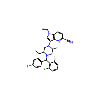 C=Cn1cc(N2CC(CC)N(C(c3ccc(F)cc3)c3c(F)cccc3F)CC2C)c2nc(C#N)ccc21